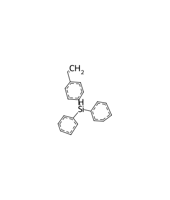 C=Cc1ccc([SiH](c2ccccc2)c2ccccc2)cc1